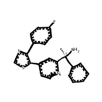 C[C@](N)(c1ccccc1)c1cc(-c2scnc2-c2ccc(F)cc2)ccn1